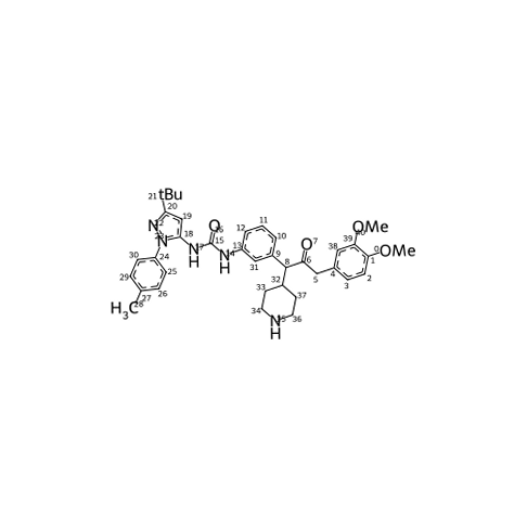 COc1ccc(CC(=O)C(c2cccc(NC(=O)Nc3cc(C(C)(C)C)nn3-c3ccc(C)cc3)c2)C2CCNCC2)cc1OC